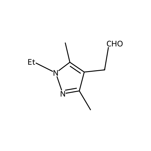 CCn1nc(C)c(CC=O)c1C